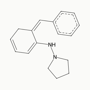 C1=CCC(=Cc2ccccc2)C(NN2CCCC2)=C1